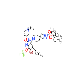 CCc1cc2c(N3CCC4(CC3)CN(C(=O)OC(C)(C)C)C4)nc(OC3CCCN(C)CC3)nc2c(OCC(F)(F)F)c1Br